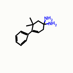 CC1(C)CC(N)(N)CC=C1c1ccccc1